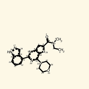 CCN(C)C(=O)c1cc2nc(-c3cccc4[nH]ncc34)nc(N3CCOCC3)c2s1